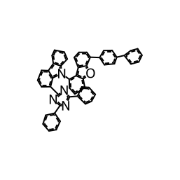 c1ccc(-c2ccc(-c3cccc4c3oc3cccc(-n5c6ccccc6c6cccc(-c7nc(-c8ccccc8)nc(-c8ccccc8)n7)c65)c34)cc2)cc1